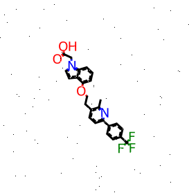 Cc1nc(-c2ccc(C(F)(F)F)cc2)ccc1CCOc1cccc2c1ccn2CC(=O)O